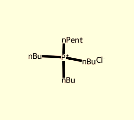 CCCCC[P+](CCCC)(CCCC)CCCC.[Cl-]